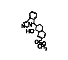 CS(=O)(=O)c1ccc2c(c1)[C@H](O)[C@@H](C1c3ccccc3-c3cncn31)CC2